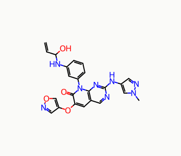 C=CC(O)Nc1cccc(-n2c(=O)c(Oc3cnoc3)cc3cnc(Nc4cnn(C)c4)nc32)c1